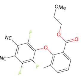 COCCOC(=O)c1cccc(C)c1Oc1c(F)c(F)c(C#N)c(C#N)c1F